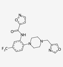 O=C(Nc1cc(C(F)(F)F)ccc1N1CCN(Cc2cocn2)CC1)c1ccno1